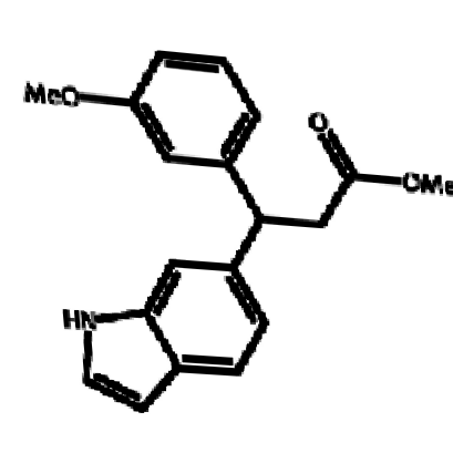 COC(=O)CC(c1cccc(OC)c1)c1ccc2cc[nH]c2c1